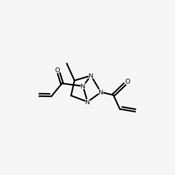 C=CC(=O)N1N2CC(C)N1N2C(=O)C=C